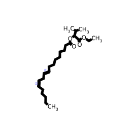 CCCCC/C=C\C/C=C/CCCCCCCC(=O)OC(C(=O)OCC)C(C)C